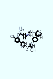 C[C@@H](CN/C=N\C=N)Oc1cc(-c2cnc(Nc3cn([C@H]4CC[C@H](N5[C@@H]6CC[C@H]5COC6)CC4)nc3O)nc2)ccc1Cl